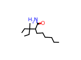 CCCCCCC(C(N)=O)C(C)(CC)CC